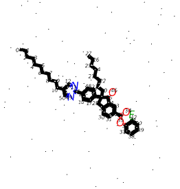 CCCCCCCCCCCc1cnc(-c2ccc(C3(CCCCCCCC)Cc4ccc(C(=O)Oc5ccccc5F)cc4C3=O)cc2)nc1